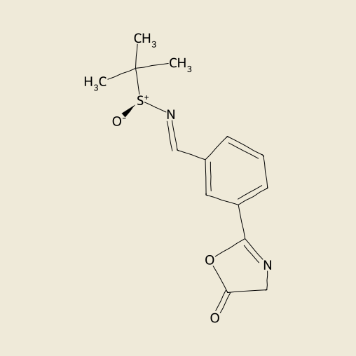 CC(C)(C)[S@+]([O-])/N=C/c1cccc(C2=NCC(=O)O2)c1